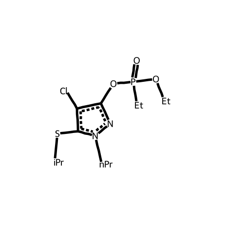 CCCn1nc(OP(=O)(CC)OCC)c(Cl)c1SC(C)C